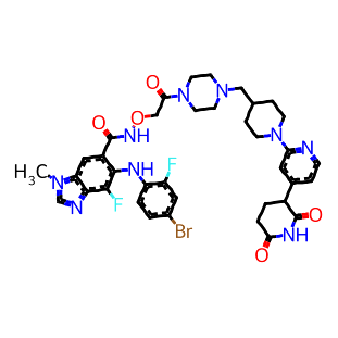 Cn1cnc2c(F)c(Nc3ccc(Br)cc3F)c(C(=O)NOCC(=O)N3CCN(CC4CCN(c5cc(C6CCC(=O)NC6=O)ccn5)CC4)CC3)cc21